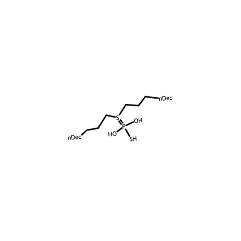 CCCCCCCCCCCCCS(CCCCCCCCCCCCC)=P(O)(O)S